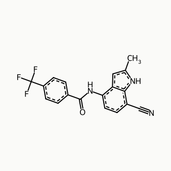 Cc1cc2c(NC(=O)c3ccc(C(F)(F)F)cc3)ccc(C#N)c2[nH]1